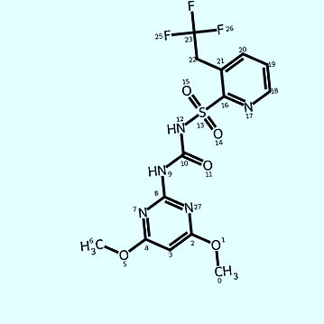 COc1cc(OC)nc(NC(=O)NS(=O)(=O)c2ncccc2CC(F)(F)F)n1